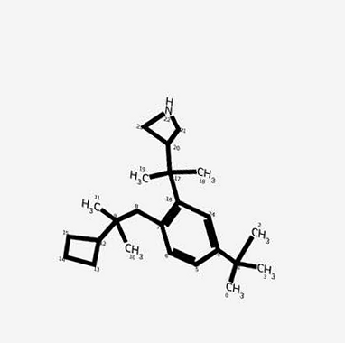 CC(C)(C)c1ccc(CC(C)(C)C2CCC2)c(C(C)(C)C2CNC2)c1